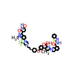 Cc1c(O[C@H]2CC[C@H](CCCN3CCN(c4ccc5c(C6CCC(=O)NC6=O)nn(C)c5c4)[C@@H](C(F)(F)F)C3)CC2)cccc1-c1ccc(N2CCc3cccc(C(=O)Nc4nc5ccccc5s4)c3C2)nc1C(=O)O